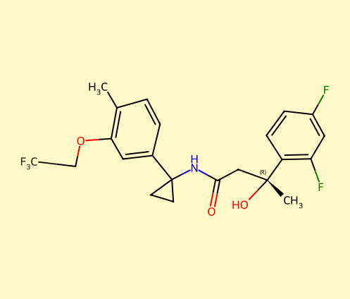 Cc1ccc(C2(NC(=O)C[C@@](C)(O)c3ccc(F)cc3F)CC2)cc1OCC(F)(F)F